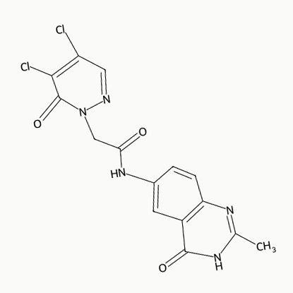 Cc1nc2ccc(NC(=O)Cn3ncc(Cl)c(Cl)c3=O)cc2c(=O)[nH]1